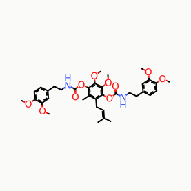 COc1ccc(CCNC(=O)Oc2c(C)c(CC=C(C)C)c(OC(=O)NCCc3ccc(OC)c(OC)c3)c(OC)c2OC)cc1OC